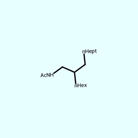 CCCCCCCCC(CCCCCC)CNC(C)=O